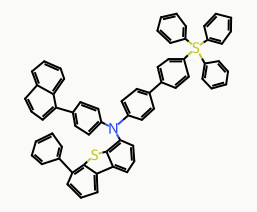 c1ccc(-c2cccc3c2sc2c(N(c4ccc(-c5ccc(S(c6ccccc6)(c6ccccc6)c6ccccc6)cc5)cc4)c4ccc(-c5cccc6ccccc56)cc4)cccc23)cc1